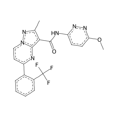 COc1ccc(NC(=O)c2c(C)nn3ccc(-c4ccccc4C(F)(F)F)nc23)nn1